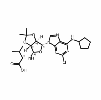 CC(C)[C@H](N[C@@H]1O[C@@H](n2cnc3c(NC4CCCC4)nc(Cl)nc32)[C@@H]2OC(C)(C)O[C@H]21)C(=O)O